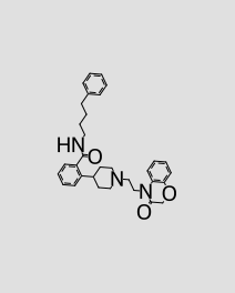 O=C(NCCCCc1ccccc1)c1ccccc1C1CCN(CCN2C(=O)COc3ccccc32)CC1